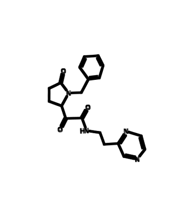 O=C(NCCc1cnccn1)C(=O)C1CCC(=O)N1Cc1ccccc1